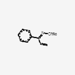 C=CC(=NOC)c1ccccc1